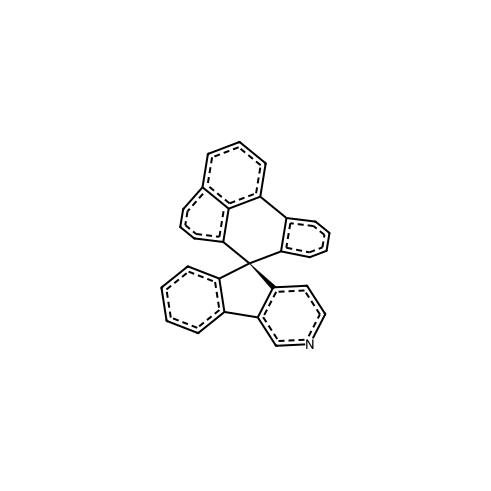 c1ccc2c(c1)-c1cnccc1[C@@]21c2ccccc2-c2cccc3cccc1c23